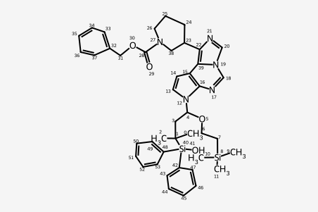 CC(C)(CC(OCC[Si](C)(C)C)n1ccc2c1ncn1cnc(C3CCCN(C(=O)OCc4ccccc4)C3)c21)[Si](O)(c1ccccc1)c1ccccc1